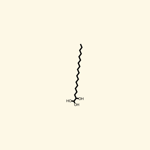 CCCCCCCCCCCCCCCCCC(O)C(O)O